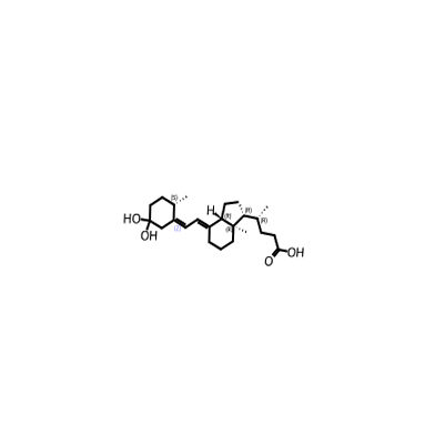 C[C@H](CCC(=O)O)[C@H]1CC[C@H]2C(=C/C=C3/CC(O)(O)CC[C@@H]3C)CCC[C@]12C